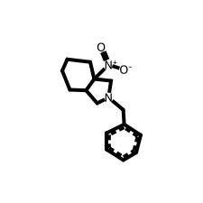 O=[N+]([O-])C12CCCCC1CN(Cc1ccccc1)C2